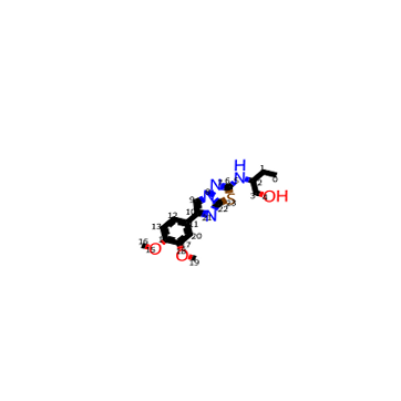 CCC(CO)Nc1nn2cc(-c3ccc(OC)c(OC)c3)nc2s1